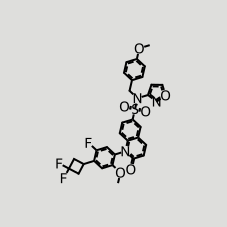 COc1ccc(CN(c2ccon2)S(=O)(=O)c2ccc3c(ccc(=O)n3-c3cc(F)c(C4CC(F)(F)C4)cc3OC)c2)cc1